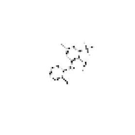 COc1c(Pc2ccccc2F)cc(C)cc1C(C)(C)C